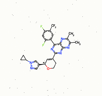 Cc1nc2nc(C3=C[C@H](c4cnn(C5CC5)c4)OCC3)nc(-c3cc(C(F)(F)F)c(F)cc3F)c2nc1C